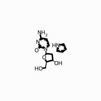 Nc1ccn([C@H]2C[C@H](O)[C@@H](CO)O2)c(=O)n1.c1cc[nH]c1